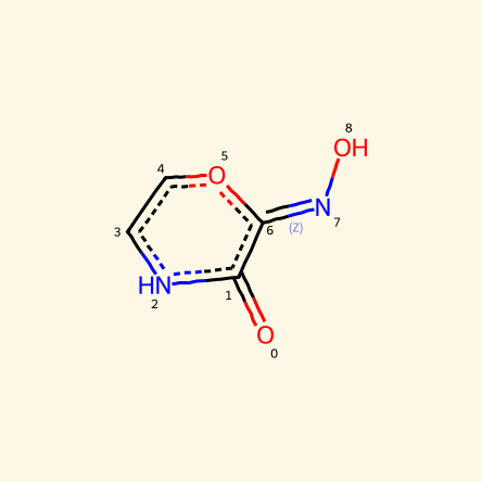 O=c1[nH]cco/c1=N\O